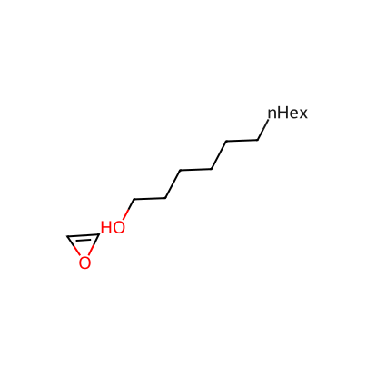 C1=CO1.CCCCCCCCCCCCO